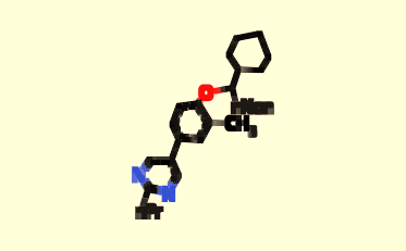 CCCCCCCCCC(Oc1ccc(-c2cnc(CCC)nc2)cc1C)C1CCCCC1